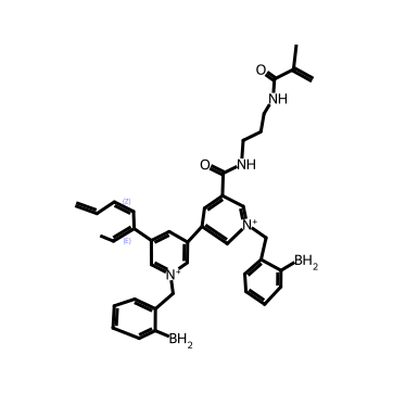 Bc1ccccc1C[n+]1cc(C(=O)NCCCNC(=O)C(=C)C)cc(-c2cc(C(/C=C\C=C)=C/C)c[n+](Cc3ccccc3B)c2)c1